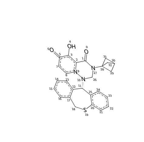 O=C1c2c(O)c(=O)ccn2N([C@H]2c3ccccc3CSc3ccccc32)CN1C12CC(C1)C2